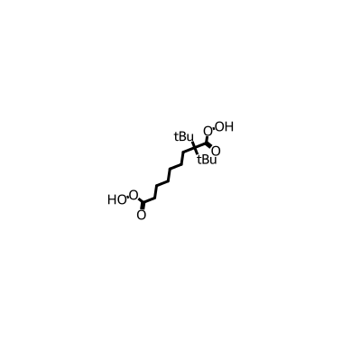 CC(C)(C)C(CCCCCCC(=O)OO)(C(=O)OO)C(C)(C)C